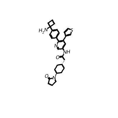 NC1(c2ccc(-c3ncc(NC(=O)C[C@H]4CC[C@H](N5CCCC5=O)CC4)cc3-c3ccsc3)cc2)CCC1